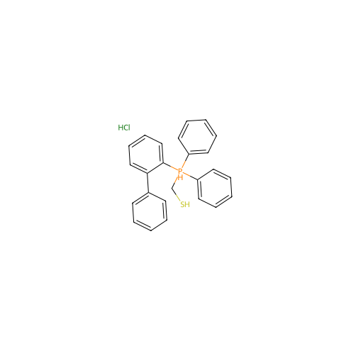 Cl.SC[PH](c1ccccc1)(c1ccccc1)c1ccccc1-c1ccccc1